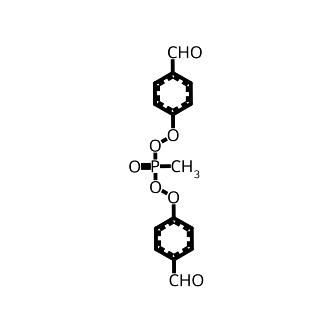 CP(=O)(OOc1ccc(C=O)cc1)OOc1ccc(C=O)cc1